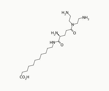 NCCN(CCN)C(=O)CC[C@H](N)C(=O)NCCCCCCCCCCC(=O)O